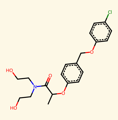 CC(Oc1ccc(COc2ccc(Cl)cc2)cc1)C(=O)N(CCO)CCO